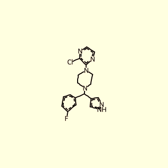 Fc1cccc(C(c2cn[nH]c2)N2CCN(c3nccnc3Cl)CC2)c1